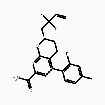 C=CC(F)(F)C[C@H]1CCc2c(-c3ccc(C)cc3F)cc(C(N)=O)nc2O1